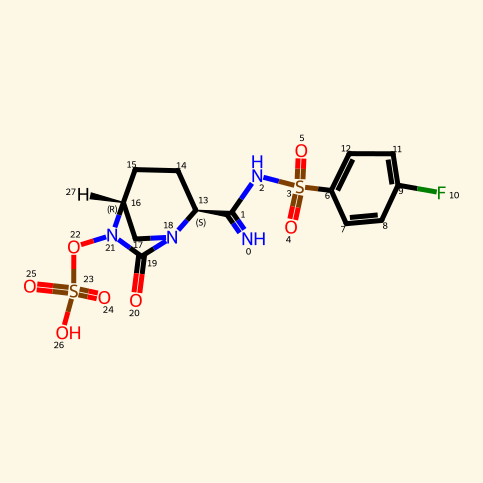 N=C(NS(=O)(=O)c1ccc(F)cc1)[C@@H]1CC[C@@H]2CN1C(=O)N2OS(=O)(=O)O